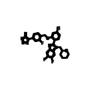 Fc1cc2nc(-c3ccc(Cl)cc3OCc3ccc(-c4nnn[nH]4)cc3F)n(CC3CCCCO3)c2cc1F